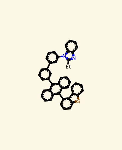 CCc1nc2ccccc2n1-c1cccc(-c2cccc(-c3c4ccccc4c(-c4cccc5sc6ccccc6c45)c4ccccc34)c2)c1